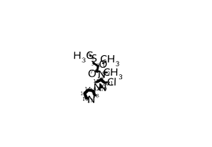 COC(CSC)C(=O)N(C)c1cn(-c2cccnc2)nc1Cl